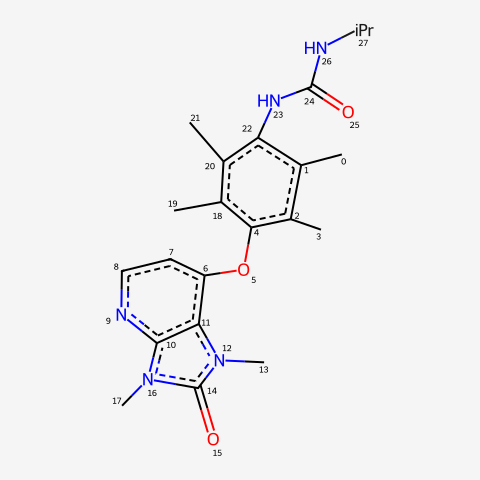 Cc1c(C)c(Oc2ccnc3c2n(C)c(=O)n3C)c(C)c(C)c1NC(=O)NC(C)C